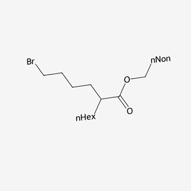 CCCCCCCCCCOC(=O)C(CCCCBr)CCCCCC